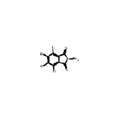 NN1C(=O)c2c(Cl)c(Cl)c(Cl)c(Cl)c2C1=O